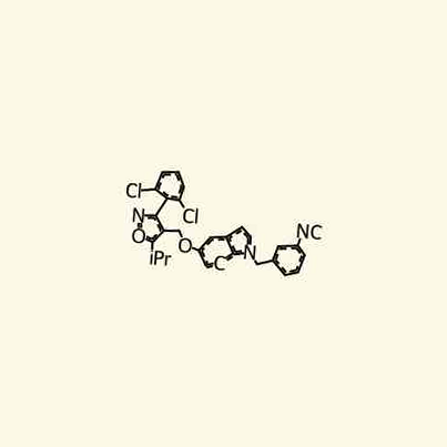 [C-]#[N+]c1cccc(Cn2ccc3cc(OCc4c(-c5c(Cl)cccc5Cl)noc4C(C)C)ccc32)c1